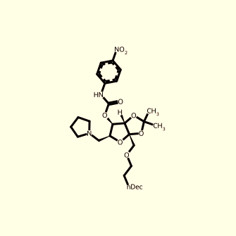 CCCCCCCCCCCCOC[C@@]12O[C@@H](CN3CCCC3)[C@@H](OC(=O)Nc3ccc([N+](=O)[O-])cc3)[C@@H]1OC(C)(C)O2